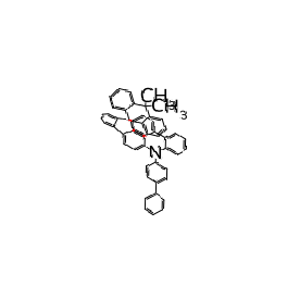 CC1(C)c2ccccc2C2(c3ccccc3-c3ccc(N(c4ccc(-c5ccccc5)cc4)c4ccccc4-c4ccccc4)cc32)c2ccccc21